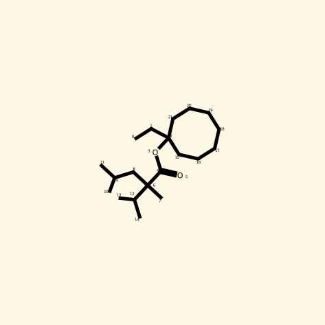 CCC1(OC(=O)C(C)(CC(C)C)C(C)C)CCCCCCC1